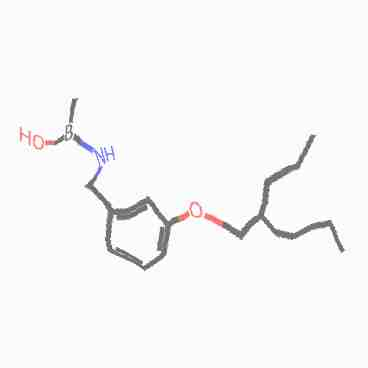 CCCC(CCC)COc1cccc(CNB(C)O)c1